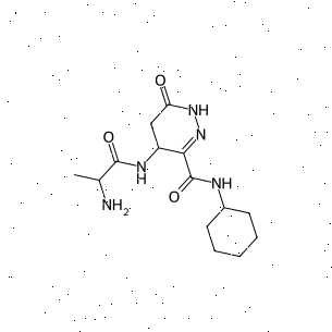 CC(N)C(=O)NC1CC(=O)NN=C1C(=O)NC1CCCCC1